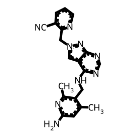 Cc1cc(N)nc(C)c1CNc1ncnc2nn(Cc3ncccc3C#N)cc12